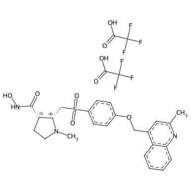 Cc1cc(COc2ccc(S(=O)(=O)C[C@H]3[C@@H](C(=O)NO)CCN3C)cc2)c2ccccc2n1.O=C(O)C(F)(F)F.O=C(O)C(F)(F)F